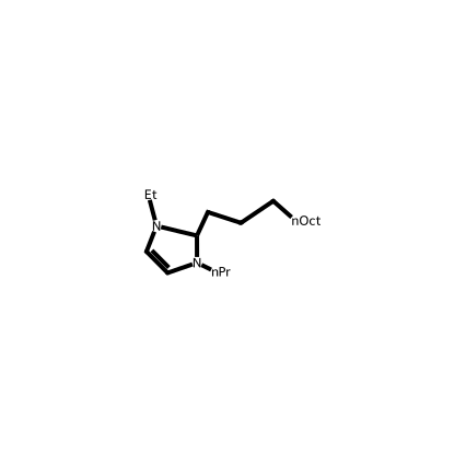 CCCCCCCCCCCC1N(CC)C=CN1CCC